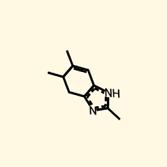 CC1=Cc2[nH]c(C)nc2CC1C